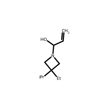 C=CC(O)N1CC(CC)(C(C)C)C1